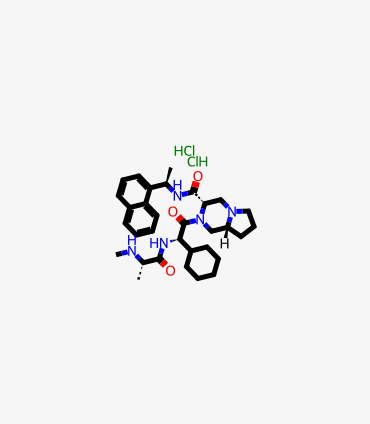 CN[C@@H](C)C(=O)N[C@H](C(=O)N1C[C@H]2CCCN2C[C@H]1C(=O)N[C@H](C)c1cccc2ccccc12)C1CCCCC1.Cl.Cl